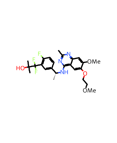 COCCOc1cc2c(N[C@H](C)c3ccc(F)c(C(F)(F)C(C)(C)O)c3)nc(C)nc2cc1OC